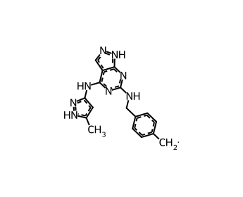 [CH2]c1ccc(CNc2nc(Nc3cc(C)[nH]n3)c3cn[nH]c3n2)cc1